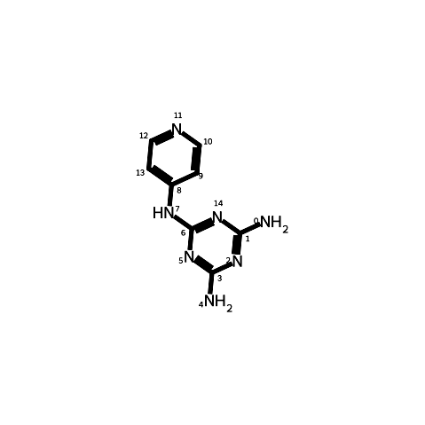 Nc1nc(N)nc(Nc2ccncc2)n1